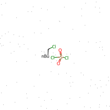 CCCCCCl.O=S(=O)(Cl)Cl